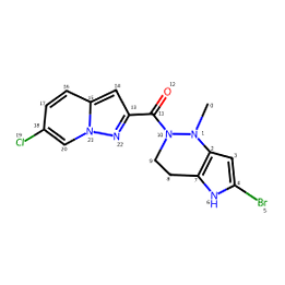 CN1c2cc(Br)[nH]c2CCN1C(=O)c1cc2ccc(Cl)cn2n1